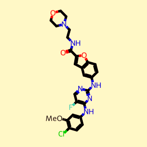 COc1cc(Nc2nc(Nc3ccc4oc(C(=O)NCCN5CCOCC5)cc4c3)ncc2F)ccc1Cl